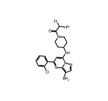 Bc1cnn2c(NC3CCN(C(=O)C(CC)CCC)CC3)cc(-c3ccccc3Cl)nc12